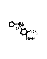 CNc1ccc(S(=O)(=O)NC2CCCC2)cc1[N+](=O)[O-]